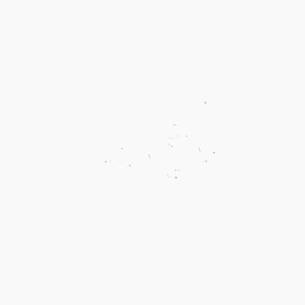 O=C(CO)[C@@H](O)[C@H](O)COP(=O)(O)O.O=C[C@H](O)[C@H](O)COP(=O)(O)OCC(=O)[C@@H](O)[C@H](O)[C@H](O)COP(=O)(O)O